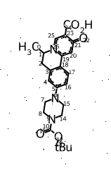 CC1Cc2cc(N3CCN(C(=O)OC(C)(C)C)CC3)ccc2-c2cc(=O)c(C(=O)O)cn21